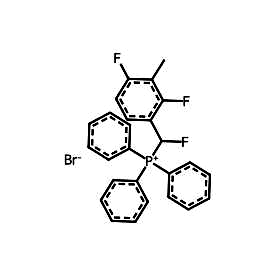 Cc1c(F)ccc(C(F)[P+](c2ccccc2)(c2ccccc2)c2ccccc2)c1F.[Br-]